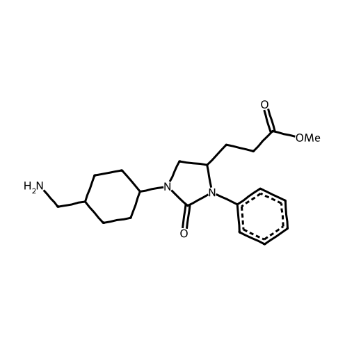 COC(=O)CCC1CN(C2CCC(CN)CC2)C(=O)N1c1ccccc1